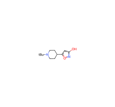 CC(C)(C)N1CCC(c2cc(O)no2)CC1